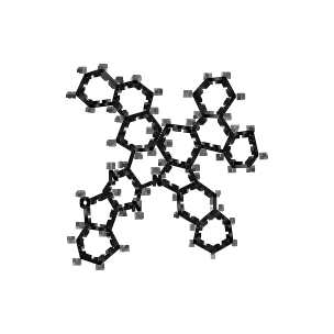 c1ccc2cc3c(cc2c1)c1c2c4ccccc4c4ccccc4c2ccc1n3-c1nc2c(nc1-c1ccc3ccc4ccccc4c3c1)oc1ccccc12